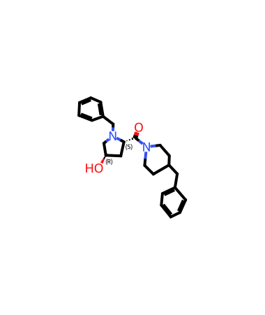 O=C([C@@H]1C[C@@H](O)CN1Cc1ccccc1)N1CCC(Cc2ccccc2)CC1